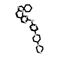 C1=Cc2cnc(Nc3ccc(N4CCC(N5CCOCC5)CC4)cn3)nc2N2C1=NCC21CCCCC1